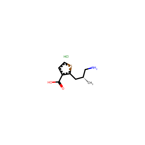 C[C@@H](CN)Cc1sccc1C(=O)O.Cl